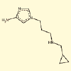 Nc1cn(CCCNCC2CC2)cn1